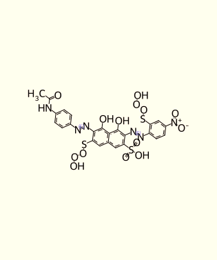 CC(=O)Nc1ccc(/N=N/c2c(SOOO)cc3cc(S(=O)(=O)O)c(/N=N/c4ccc([N+](=O)[O-])cc4SOOO)c(O)c3c2O)cc1